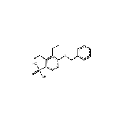 CCc1c(OCc2ccccc2)ccc(P(=O)(O)O)c1CC